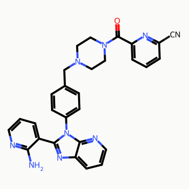 N#Cc1cccc(C(=O)N2CCN(Cc3ccc(-n4c(-c5cccnc5N)nc5cccnc54)cc3)CC2)n1